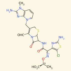 C[C@H](O/N=C(\C(=O)NC1C(=O)N2C(C=O)=C(C[n+]3cccc4c3nc(N)n4C)CSC12)c1nc(N)sc1Cl)C(=O)O